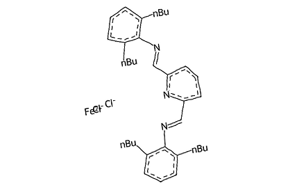 CCCCc1cccc(CCCC)c1N=Cc1cccc(C=Nc2c(CCCC)cccc2CCCC)n1.[Cl-].[Cl-].[Fe+2]